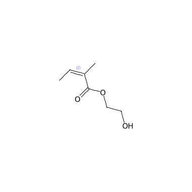 C/C=C(/C)C(=O)OCCO